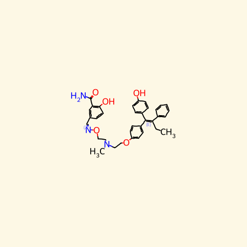 CC/C(=C(/c1ccc(O)cc1)c1ccc(OCCN(C)CCO/N=C\c2ccc(O)c(C(N)=O)c2)cc1)c1ccccc1